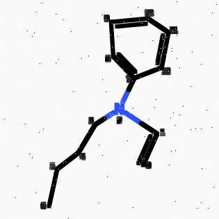 C=CN(CCCC)c1ccccc1